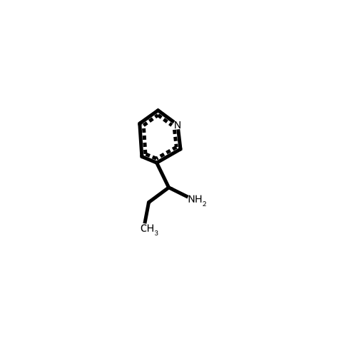 CC[C](N)c1cccnc1